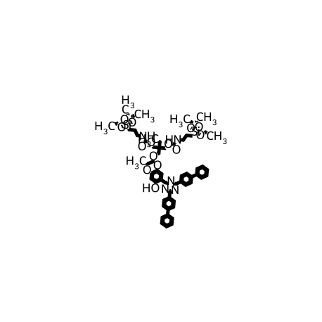 CCO[Si](CCCNC(=O)OCC(CC)(COC(=O)NCCC[Si](OCC)(OCC)OCC)COC(=O)C(C)Oc1ccc(-c2nc(-c3ccc(-c4ccccc4)cc3)nc(-c3ccc(-c4ccccc4)cc3)n2)c(O)c1)(OCC)OCC